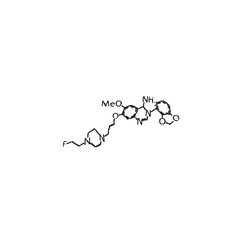 COc1cc2c(cc1OCCCN1CCN(CCF)CC1)N=CN(c1cccc3c1OCO3)C2N